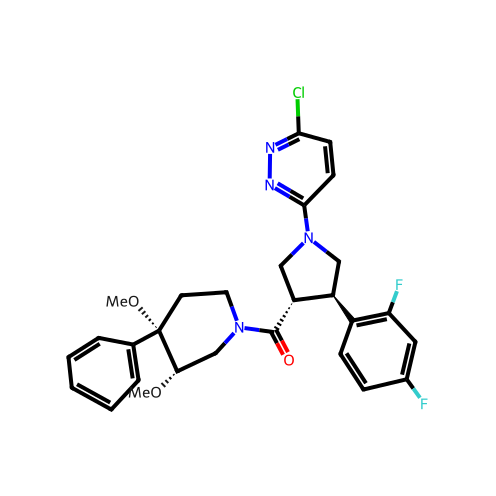 CO[C@H]1CN(C(=O)[C@@H]2CN(c3ccc(Cl)nn3)C[C@H]2c2ccc(F)cc2F)CC[C@]1(OC)c1ccccc1